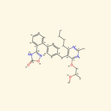 CCCCc1nc(C)nc(OCC(C)OC)c1Cc1ccc(-c2ccccc2-c2noc(=O)[nH]2)cc1